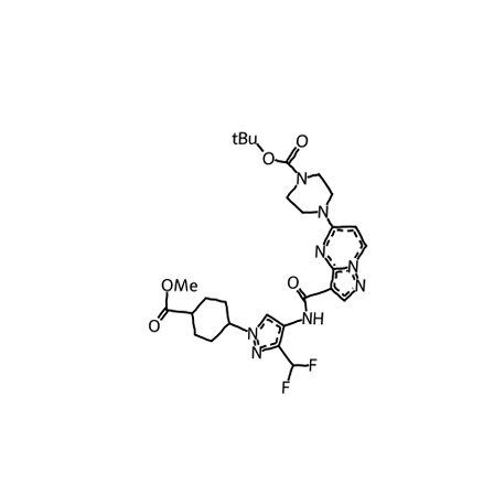 COC(=O)C1CCC(n2cc(NC(=O)c3cnn4ccc(N5CCN(C(=O)OC(C)(C)C)CC5)nc34)c(C(F)F)n2)CC1